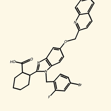 O=C(O)C1CCCCC1c1nc2cc(OCc3ccc4ccccc4n3)ccc2n1Cc1ccc(Br)cc1F